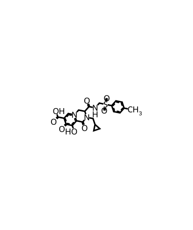 Cc1ccc(S(=O)(=O)CNC(=O)C2Cn3cc(C(=O)O)c(=O)c(O)c3C(=O)N2CC2CC2)cc1